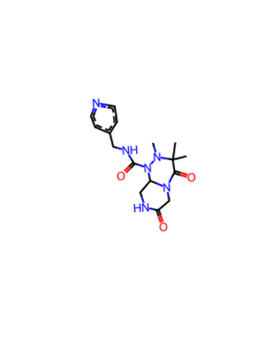 CN1N(C(=O)NCc2ccncc2)C2CNC(=O)CN2C(=O)C1(C)C